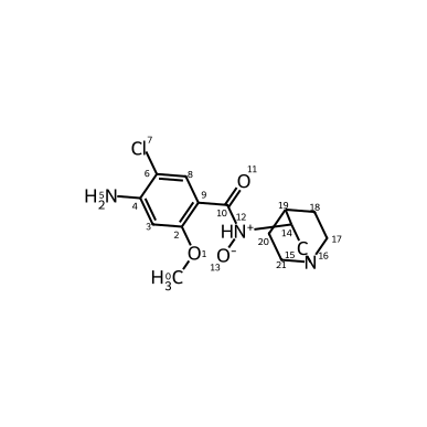 COc1cc(N)c(Cl)cc1C(=O)[NH+]([O-])C1CN2CCC1CC2